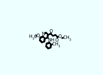 CCOC(=O)CCC(=O)c1cnc2c(OC)cccc2c1Nc1ccccc1C